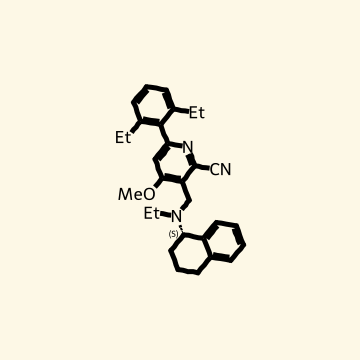 CCc1cccc(CC)c1-c1cc(OC)c(CN(CC)[C@H]2CCCc3ccccc32)c(C#N)n1